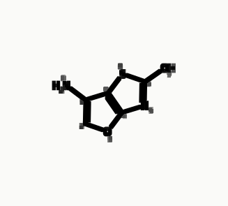 Nc1coc2nc(O)sc12